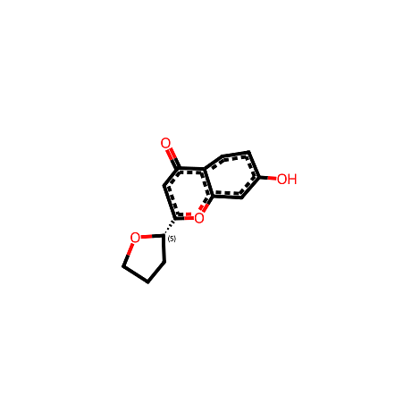 O=c1cc([C@@H]2CCCO2)oc2cc(O)ccc12